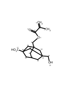 C=C(C)C(=O)OCC12CC3CC(CO)(C1)CC(C(=O)O)(C3)C2